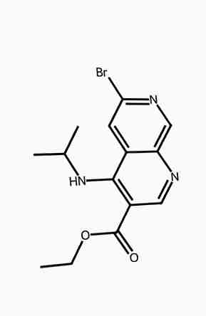 CCOC(=O)c1cnc2cnc(Br)cc2c1NC(C)C